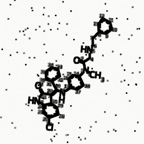 CN(C(=O)CNCCc1ccccc1)c1ccc(NC(=C2C(=O)Nc3cc(Cl)ccc32)c2ccccc2)cc1